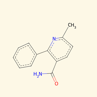 Cc1ccc(C(N)=O)c(-c2ccccc2)n1